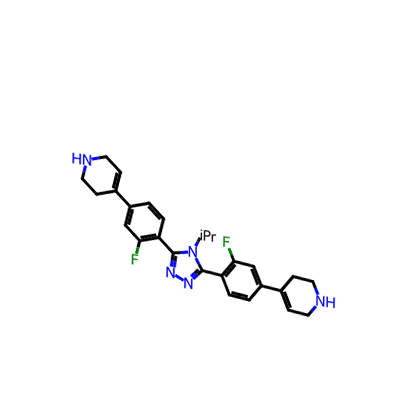 CC(C)n1c(-c2ccc(C3=CCNCC3)cc2F)nnc1-c1ccc(C2=CCNCC2)cc1F